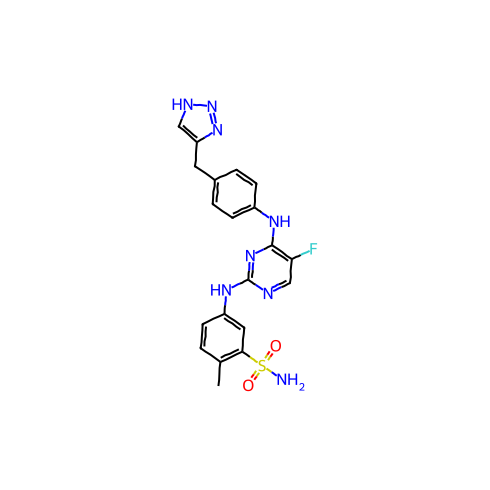 Cc1ccc(Nc2ncc(F)c(Nc3ccc(Cc4c[nH]nn4)cc3)n2)cc1S(N)(=O)=O